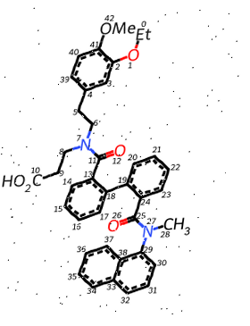 CCOc1cc(CCN(CCC(=O)O)C(=O)c2ccccc2-c2ccccc2C(=O)N(C)c2cccc3ccccc23)ccc1OC